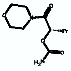 CC(C)[C@H](OC(N)=O)C(=O)N1CCOCC1